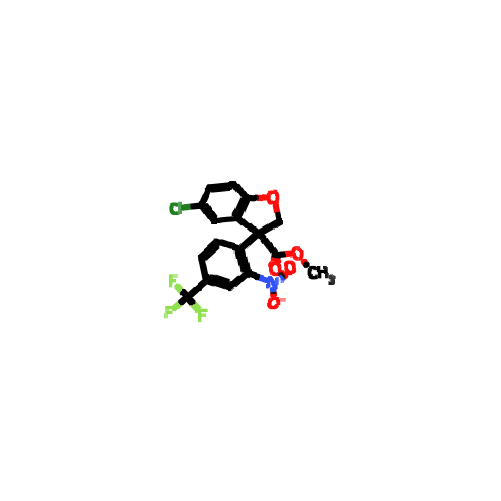 COC(=O)C1(c2ccc(C(F)(F)F)cc2[N+](=O)[O-])COc2ccc(Cl)cc21